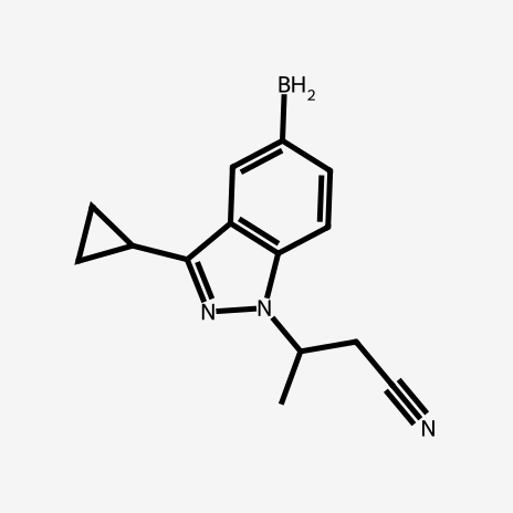 Bc1ccc2c(c1)c(C1CC1)nn2C(C)CC#N